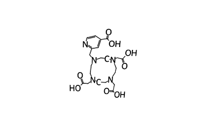 O=C(O)CN1CCN(CC(=O)O)CCN(Cc2cc(C(=O)O)ccn2)CCN(CC(=O)O)CC1